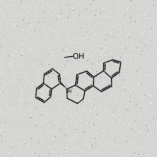 CO.c1ccc2c([C@@H]3CCCc4c3ccc3c4ccc4ccccc43)cccc2c1